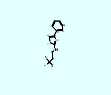 FC(F)(F)CCNc1nc(-c2ccccc2)cs1